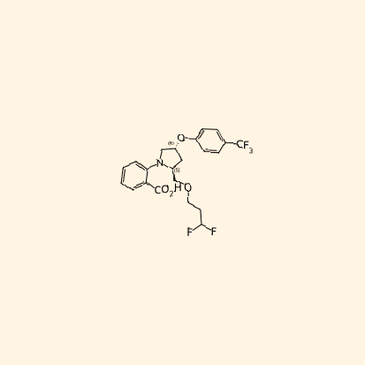 O=C(O)c1ccccc1N1C[C@H](Oc2ccc(C(F)(F)F)cc2)C[C@H]1COCCC(F)F